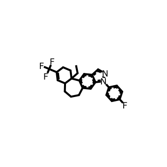 CCC12CCC(C(F)(F)F)=CC1CCCc1cc3c(cnn3-c3ccc(F)cc3)cc12